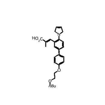 CCCCOCCOc1ccc(-c2ccc(N3CC=CC3)c(C=C(C)C(=O)O)c2)cc1